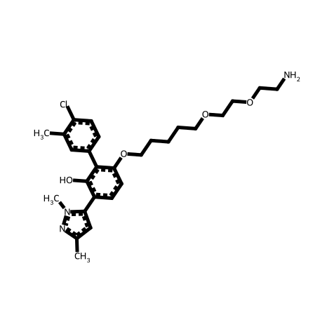 Cc1cc(-c2ccc(OCCCCCOCCOCCN)c(-c3ccc(Cl)c(C)c3)c2O)n(C)n1